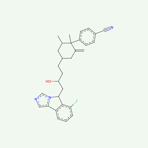 C=C1CC(CCC(O)CC2c3c(F)cccc3-c3cncn32)CC(C)C1(C)c1ccc(C#N)cc1